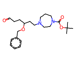 CC(C)(C)OC(=O)N1CCCN(CCC(CCC=O)OCc2ccccc2)CC1